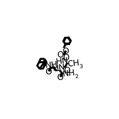 C[C@H](NOC(=O)OCc1ccccc1)C(=O)N[C@H](CCC(=O)NC12CC3CC(CC(C3)C1)C2)C(N)=O